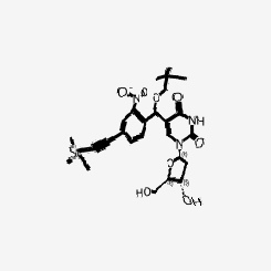 CC(C)(C)COC(c1ccc(C#C[Si](C)(C)C)cc1[N+](=O)[O-])c1cn([C@H]2C[C@H](O)[C@@H](CO)O2)c(=O)[nH]c1=O